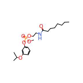 CCCCCCCC(=O)NCCOP(=O)(OC)Oc1cccc(OC(C)C)c1